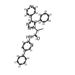 CC(C(=O)Nc1ccc(-c2ccccc2)cn1)n1nnc(-c2ccncc2)c1-c1ccccc1